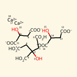 O=C(O)CC(O)(CC(=O)O)C(=O)O.O=C([O-])CC(O)C(=O)[O-].O=C([O-])CC(O)C(=O)[O-].[Ca+2].[Ca+2]